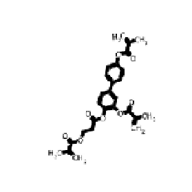 C=C(C)C(=O)OCCC(=O)Oc1ccc(-c2ccc(OC(=O)C(=C)C)cc2)cc1OC(=O)C(=C)C